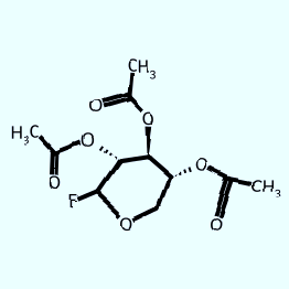 CC(=O)O[C@H]1[C@H](OC(C)=O)COC(F)[C@@H]1OC(C)=O